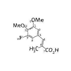 COc1cc(/C=C(\C)C(=O)O)cc(F)c1OC